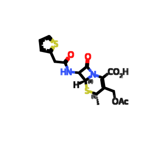 CC(=O)OCC1=C(C(=O)O)N2C(=O)C(NC(=O)Cc3cccs3)[C@H]2S[C@H]1C